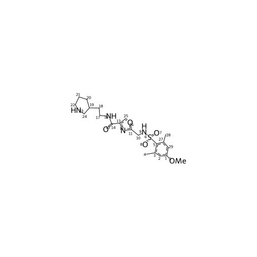 COc1cc(C)c(S(=O)(=O)NCc2nc(C(=O)NCCC3CCCNC3)co2)c(C)c1